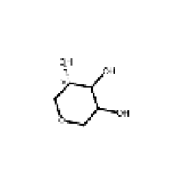 OC1COC[C@H](O)C1O